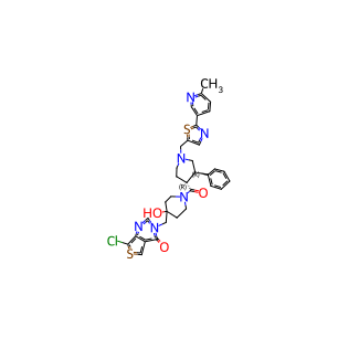 Cc1ccc(-c2ncc(CN3CC[C@@H](C(=O)N4CCC(O)(Cn5cnc6c(Cl)scc6c5=O)CC4)[C@H](c4ccccc4)C3)s2)cn1